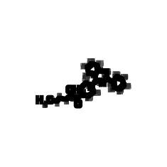 CCCCC(O)C(=O)N1CCN(c2nc(-c3ccccc3)nc3ccccc23)CC1